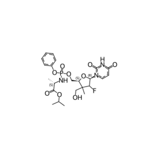 CC(C)OC(=O)[C@H](C)NP(=O)(OC[C@H]1O[C@@H](n2ccc(=O)[nH]c2=O)C(F)C1(C)CO)Oc1ccccc1